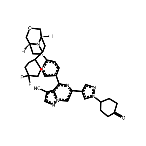 N#Cc1cnn2cc(-c3cnn(C4CCC(=O)CC4)c3)nc(-c3ccc(N4C[C@H]5COC[C@@H](C4)N5CC4CCC(F)(F)CC4)nc3)c12